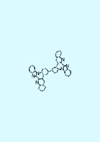 c1ccc2nc3c(cc2c1)c1cc(-c2ccc4c(c2)c2cc5ccccc5nc2c2nc5ccccc5n42)ccc1n1c2ccccc2nc31